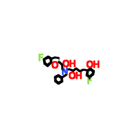 Oc1ccc(F)cc1CCC[C@@H](O)CN(Cc1ccccc1)C[C@H](O)[C@H]1CCc2cc(F)ccc2O1